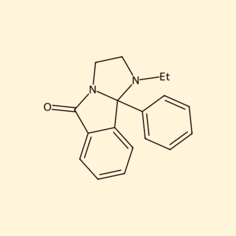 CCN1CCN2C(=O)c3ccccc3C12c1ccccc1